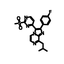 CC(C)Cc1nccn2c(-c3ccnc(S(C)(=O)=O)n3)c(-c3ccc(F)cc3)nc12